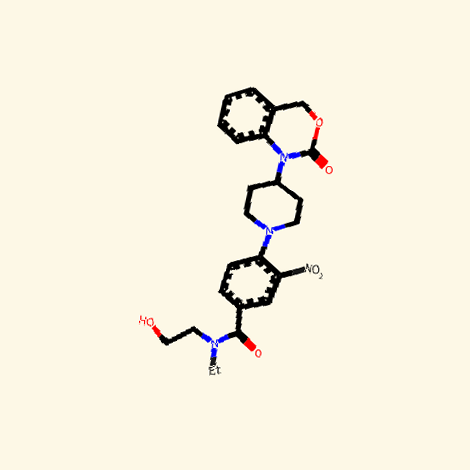 CCN(CCO)C(=O)c1ccc(N2CCC(N3C(=O)OCc4ccccc43)CC2)c([N+](=O)[O-])c1